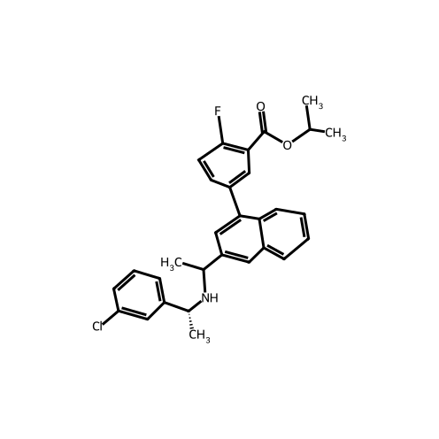 CC(C)OC(=O)c1cc(-c2cc(C(C)N[C@H](C)c3cccc(Cl)c3)cc3ccccc23)ccc1F